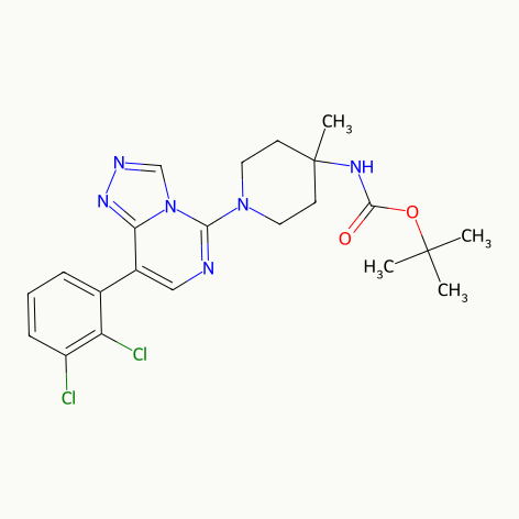 CC1(NC(=O)OC(C)(C)C)CCN(c2ncc(-c3cccc(Cl)c3Cl)c3nncn23)CC1